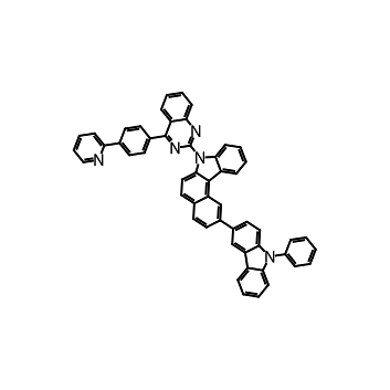 c1ccc(-n2c3ccccc3c3cc(-c4ccc5ccc6c(c5c4)c4ccccc4n6-c4nc(-c5ccc(-c6ccccn6)cc5)c5ccccc5n4)ccc32)cc1